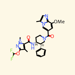 COc1cc(C(=O)N2CC[C@@H](NC(=O)c3c(C)c(OC(F)F)nn3C)[C@@H](c3ccccc3)C2)cn2c(C)cnc12